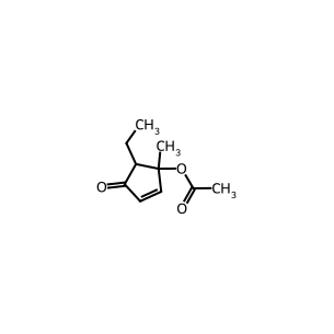 CCC1C(=O)C=CC1(C)OC(C)=O